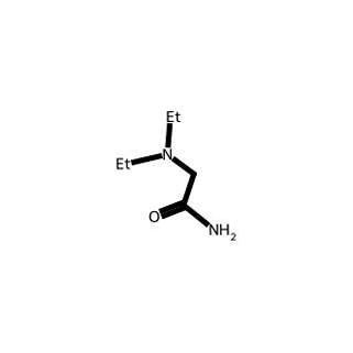 CCN(CC)CC(N)=O